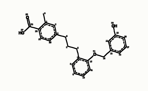 Cc1cc(CCCc2ccccc2OCc2cccc(O)c2)ccc1C(=O)O